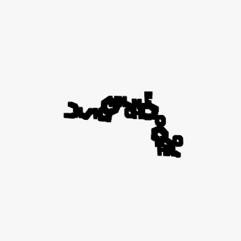 CCN(CC)CCn1ccc2cc(NC(=O)Nc3ccc(Oc4ccnc(C(=O)NC)c4)cc3F)ccc21